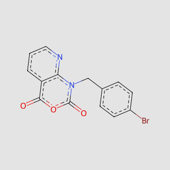 O=c1oc(=O)n(Cc2ccc(Br)cc2)c2ncccc12